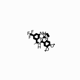 COc1cc2c(N[C@H](C)c3cc(N)cc(C(F)(F)F)c3)nc3nccn3c2cc1OC